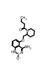 CCCC(=O)N1CCCCC1COc1cccc2c1C(N)=N[S+]([O-])N2